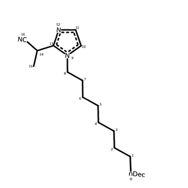 CCCCCCCCCCCCCCCCCCn1ccnc1C(C)C#N